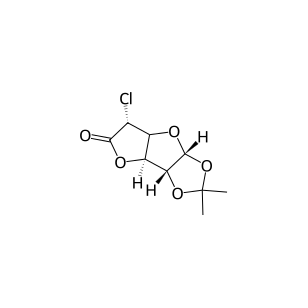 CC1(C)O[C@H]2OC3[C@@H](Cl)C(=O)O[C@@H]3[C@H]2O1